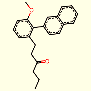 CCCC(=O)CCc1cccc(OC)c1-c1ccc2ccccc2c1